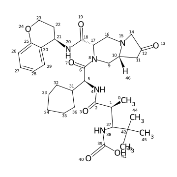 C[C@H](C(=O)N[C@H](C(=O)N1C[C@H]2CC(=O)CN2C[C@H]1C(=O)N[C@@H]1CCOc2ccccc21)C1CCCCC1)C(NC(=O)O)C(C)(C)C